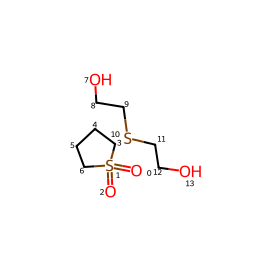 O=S1(=O)CCCC1.OCCSCCO